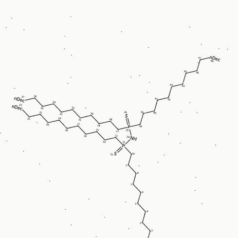 CCCCCCCCCCCCCCCCCCCCP(=S)(CCCCCCCCCCCCCCCCCCCC)NP(=S)(CCCCCCCCCCCCCCCCCCCC)CCCCCCCCCCCCCCCCCCCC